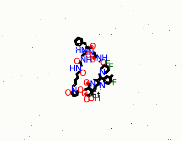 CC[C@@]1(O)C(=O)OCc2c1cc1n(c2=O)Cc2c-1nc1cc(F)c(C)cc1c2CN1CCC(F)(F)[C@H](OCNC(=O)CNC(=O)[C@H](Cc2ccccc2)NC(=O)CNC(=O)CNC(=O)CCCCCN2C(=O)C=CC2=O)C1